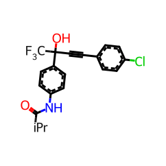 CC(C)C(=O)Nc1ccc(C(O)(C#Cc2ccc(Cl)cc2)C(F)(F)F)cc1